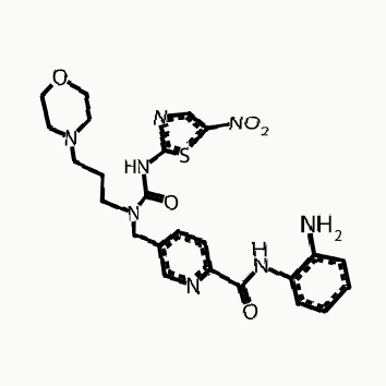 Nc1ccccc1NC(=O)c1ccc(CN(CCCN2CCOCC2)C(=O)Nc2ncc([N+](=O)[O-])s2)cn1